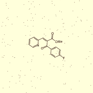 COC(=O)C(=Cc1ccccn1)C(=O)c1ccc(F)cc1